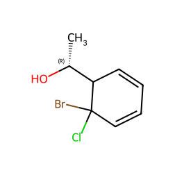 C[C@@H](O)C1C=CC=CC1(Cl)Br